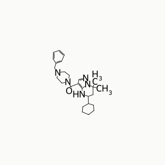 CC1(C)CC(C2CCCCC2)Nc2c(C(=O)N3CCN(Cc4ccccc4)CC3)cnn21